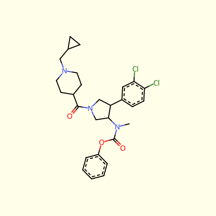 CN(C(=O)Oc1ccccc1)C1CN(C(=O)C2CCN(CC3CC3)CC2)CC1c1ccc(Cl)c(Cl)c1